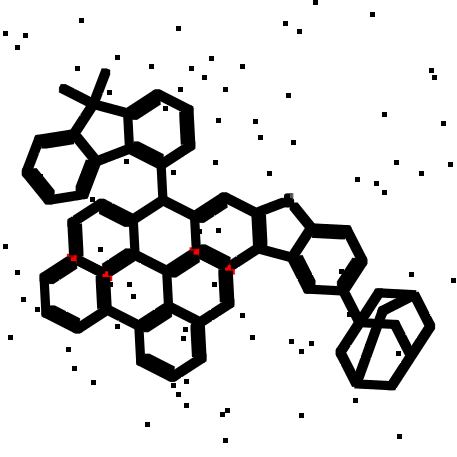 CC1(C)c2ccccc2-c2c(C(c3ccc4c(c3)sc3ccc(C56CC7CC(CC(C7)C5)C6)cc34)c3ccccc3-c3cccc4cccc(-c5ccccc5)c34)cccc21